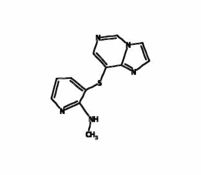 CNc1ncccc1Sc1cncn2ccnc12